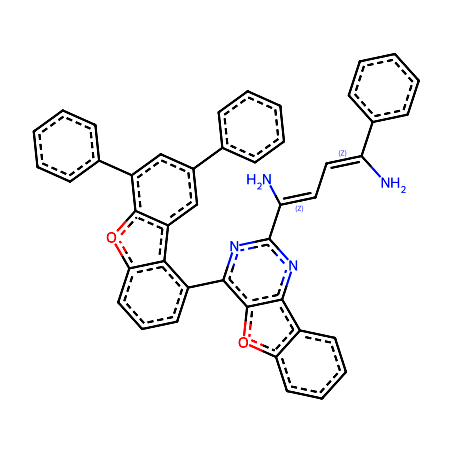 N/C(=C\C=C(/N)c1nc(-c2cccc3oc4c(-c5ccccc5)cc(-c5ccccc5)cc4c23)c2oc3ccccc3c2n1)c1ccccc1